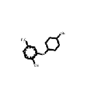 CC(C)(C)C1CCC(Sc2cc(C(F)(F)F)ccc2C#N)CC1